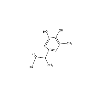 Cc1cc(C(N)C(=O)O)cc(O)c1O